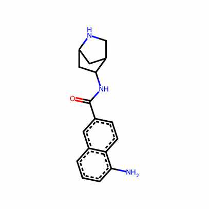 Nc1cccc2cc(C(=O)NC3CC4CC3CN4)ccc12